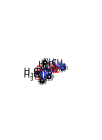 CC(C)[C@H](NC(=O)c1ccccn1)C(=O)N[C@@H](Cc1ccccc1)[C@@H](O)[C@H](O)[C@H](Cc1ccccc1)NC(=O)[C@@H](NC(=O)c1ccccn1)C(C)C